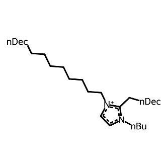 CCCCCCCCCCCCCCCCCC[n+]1ccn(CCCC)c1CCCCCCCCCCC